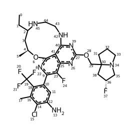 CCC1C[C@H](C)Oc2nc(-c3cc(N)c(Cl)c(C)c3C(F)(F)F)c(F)c3nc(OCC45CCCN4C[C@H](F)C5)nc(c23)NCCN1